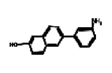 Nc1cccc(-c2ccc3cc(O)ccc3c2)c1